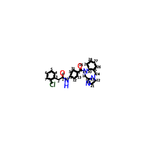 O=C(Cc1ccccc1Cl)Nc1ccc(C(=O)N2Cc3nccn3Cc3ccccc32)cc1